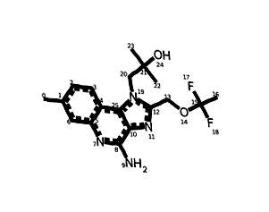 Cc1ccc2c(c1)nc(N)c1nc(COC(C)(F)F)n(CC(C)(C)O)c12